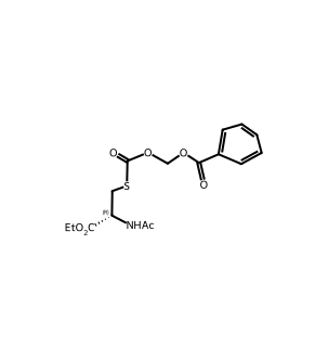 CCOC(=O)[C@H](CSC(=O)OCOC(=O)c1ccccc1)NC(C)=O